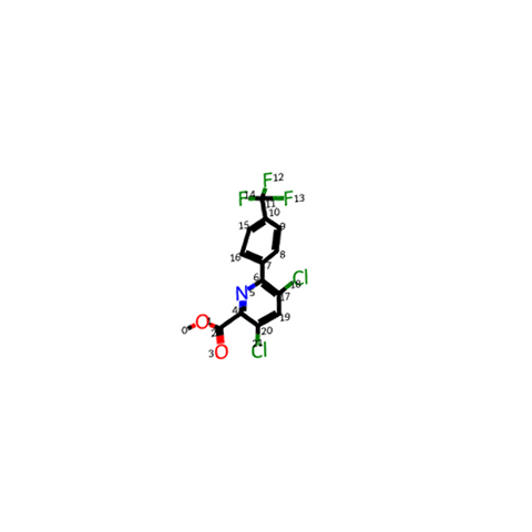 COC(=O)c1nc(-c2ccc(C(F)(F)F)cc2)c(Cl)cc1Cl